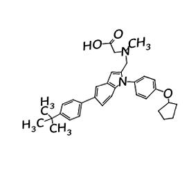 CN(CC(=O)O)Cc1cc2cc(-c3ccc(C(C)(C)C)cc3)ccc2n1-c1ccc(OC2CCCC2)cc1